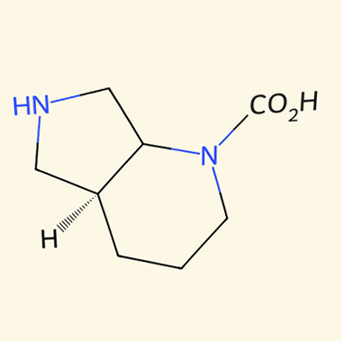 O=C(O)N1CCC[C@H]2CNCC21